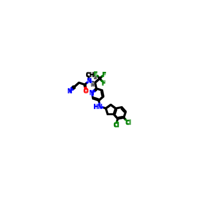 CN(C(=O)CC#N)[C@@H](c1ccc(NC2Cc3ccc(Cl)c(Cl)c3C2)cn1)C(F)(F)F